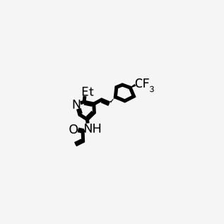 C=CC(=O)Nc1cnc(CC)c(/C=C/[C@H]2CC[C@H](C(F)(F)F)CC2)c1